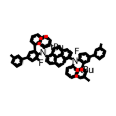 Cc1cccc(-c2cc(F)c(N(c3ccccc3C(C)(C)C)c3ccc4ccc5c(N(c6ccccc6C(C)(C)C)c6c(F)cc(-c7cccc(C)c7)cc6-c6cccc(C)c6)ccc6ccc3c4c65)c(-c3cccc(C)c3)c2)c1